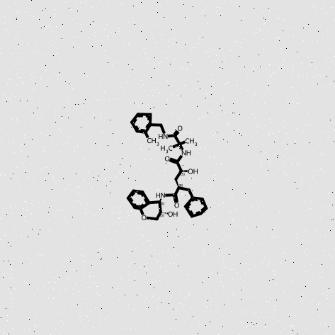 Cc1ccccc1CNC(=O)C(C)(C)NC(=O)[C@@H](O)C[C@@H](Cc1ccccc1)C(=O)N[C@H]1c2ccccc2OC[C@H]1O